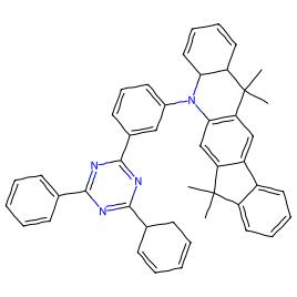 CC1(C)c2ccccc2-c2cc3c(cc21)N(c1cccc(-c2nc(-c4ccccc4)nc(C4C=CC=CC4)n2)c1)C1C=CC=CC1C3(C)C